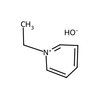 CC[n+]1ccccc1.[OH-]